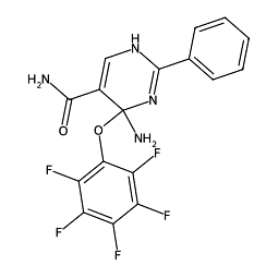 NC(=O)C1=CNC(c2ccccc2)=NC1(N)Oc1c(F)c(F)c(F)c(F)c1F